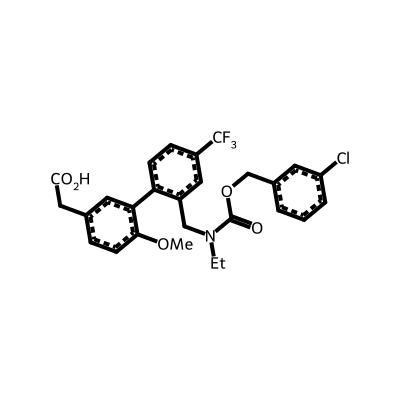 CCN(Cc1cc(C(F)(F)F)ccc1-c1cc(CC(=O)O)ccc1OC)C(=O)OCc1cccc(Cl)c1